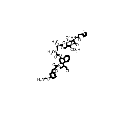 CN(CCN(C)C(=O)OC1CC2C(C(CCl)CN2C(=O)c2cc3cc(OCN)ccc3o2)C2C=CC=CC12)C(=O)OCC1=C(C(=O)O)N2C(=O)C(NC(=O)Cc3cccs3)C2[S+]([O-])C1